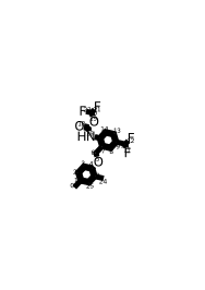 Cc1ccc(OCc2cc(C(F)F)ccc2NC(=O)OC(F)F)c(C)c1